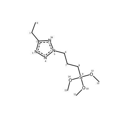 CCc1nnn(CCC[Si](OC)(OC)OC)n1